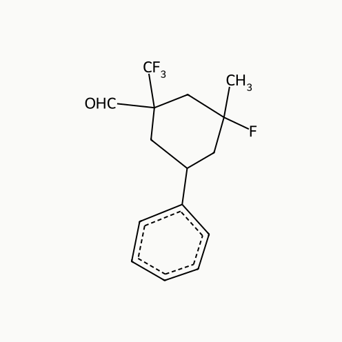 CC1(F)CC(c2ccccc2)CC(C=O)(C(F)(F)F)C1